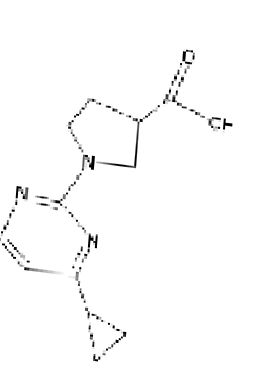 O=C(O)C1CCN(c2nccc(C3CC3)n2)C1